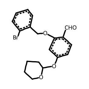 O=Cc1ccc(OC2CCCCO2)cc1OCc1ccccc1Br